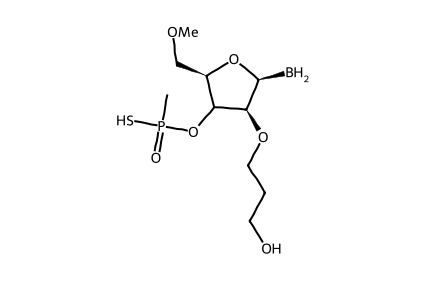 B[C@@H]1O[C@H](COC)C(OP(C)(=O)S)[C@@H]1OCCCO